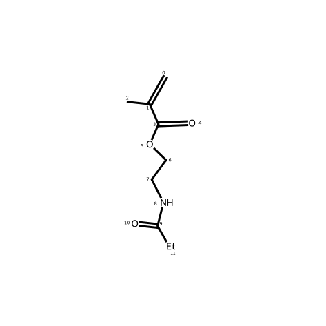 C=C(C)C(=O)OCCNC(=O)CC